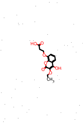 CCOc1c(O)c2cccc(OCCC(=O)O)c2oc1=O